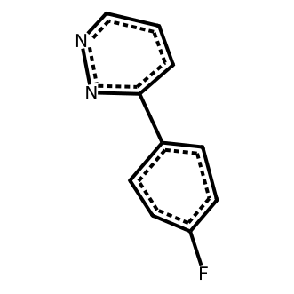 Fc1ccc(-c2cccnn2)cc1